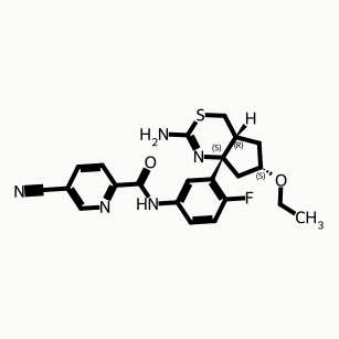 CCO[C@H]1C[C@H]2CSC(N)=N[C@@]2(c2cc(NC(=O)c3ccc(C#N)cn3)ccc2F)C1